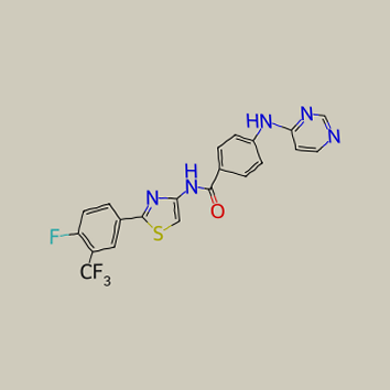 O=C(Nc1csc(-c2ccc(F)c(C(F)(F)F)c2)n1)c1ccc(Nc2ccncn2)cc1